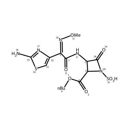 CCCCOC(=O)C1C(NC(=O)C(=NOC)c2csc(N)n2)C(=O)N1S(=O)(=O)O